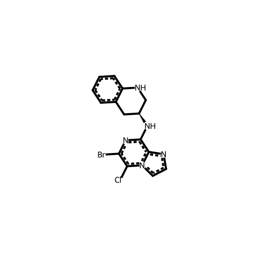 Clc1c(Br)nc(N[C@@H]2CNc3ccccc3C2)c2nccn12